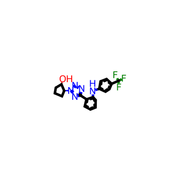 O[C@@H]1CCC[C@@H]1n1nnc(-c2ccccc2Nc2ccc(C(F)(F)F)cc2)n1